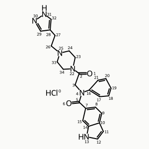 Cl.O=C(CN(C(=O)c1ccc2cc[nH]c2c1)c1ccccc1)N1CCN(CCc2cn[nH]c2)CC1